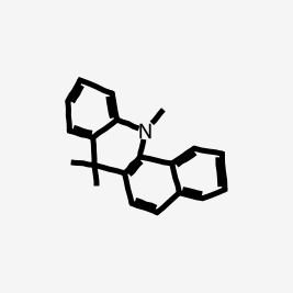 CN1c2ccccc2C(C)(C)c2ccc3ccccc3c21